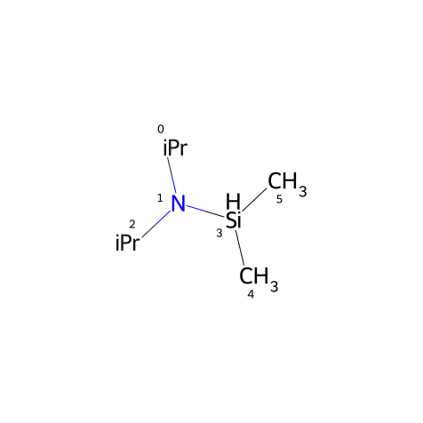 CC(C)N(C(C)C)[SiH](C)C